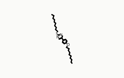 CCCCCCCCCCOc1ccc(-c2cnc(SCCCCCCCCCC)nc2)cc1